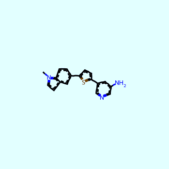 Cn1ccc2cc(-c3ccc(-c4cncc(N)c4)s3)ccc21